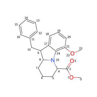 COC(=O)C1CCCC2C(Cc3ccccc3)c3cccc(OC)c3N12